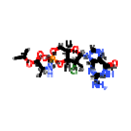 CC(C)OC(=O)[C@H](C)N[P@]1(=O)OC[C@H]2O[C@@H](n3cnc4c(=O)[nH]c(N)nc43)[C@](C)(Cl)[C@@H]2O1